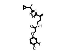 C=C(CCNC(=O)COc1ccc(Cl)c(F)c1)c1nnc([C@H](C)C2CC2)o1